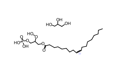 CCCCCCCC/C=C\CCCCCCCC(=O)OCC(COP(=O)(O)O)OO.OCC(O)CO